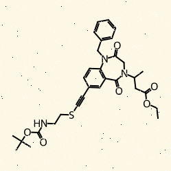 CCOC(=O)CC(C)N1CC(=O)N(Cc2ccccc2)c2ccc(C#CSCCNC(=O)OC(C)(C)C)cc2C1=O